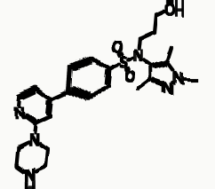 Cc1nn(C)c(C)c1N(CCCO)S(=O)(=O)c1ccc(-c2ccnc(N3CCNCC3)c2)cc1